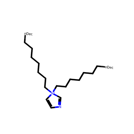 CCCCCCCCCCCCCCCCC[N+]1(CCCCCCCCCCCCCCCCC)C=CN=C1